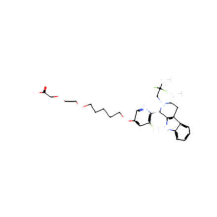 C[C@@H]1Cc2c([nH]c3ccccc23)[C@@H](c2ncc(OCCCCCOCCOCC(=O)O)cc2F)N1CC(C)(F)F